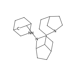 C1CC2NCC1CC2N1CCC2CCC1C2C1CCC2CCN1C2